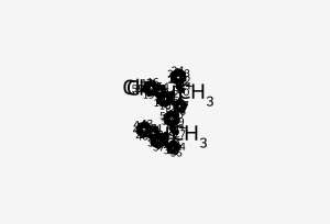 C/[C](=[Hf+]\[c]1c(C2=CC=CC2)ccc2c1Cc1ccccc1-2)c1ccccc1.C/[C](=[Hf+]\[c]1c(C2=CC=CC2)ccc2c1Cc1ccccc1-2)c1ccccc1.[Cl-].[Cl-]